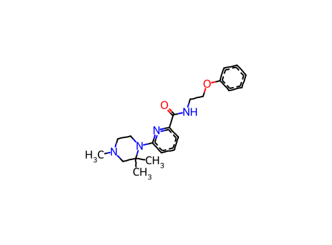 CN1CCN(c2cccc(C(=O)NCCOc3ccccc3)n2)C(C)(C)C1